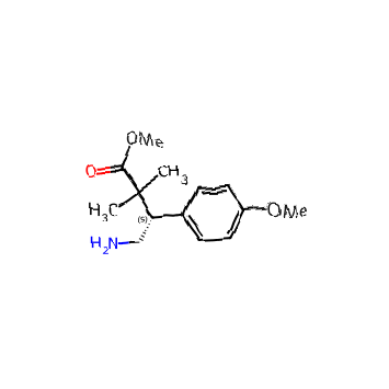 COC(=O)C(C)(C)[C@@H](CN)c1ccc(OC)cc1